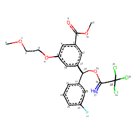 COCCOc1cc(C(=O)OC)cc(C(OC(=N)C(Cl)(Cl)Cl)c2cccc(F)c2)c1